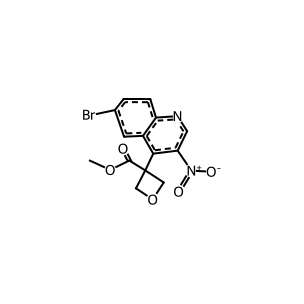 COC(=O)C1(c2c([N+](=O)[O-])cnc3ccc(Br)cc23)COC1